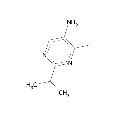 CC(C)c1ncc(N)c(I)n1